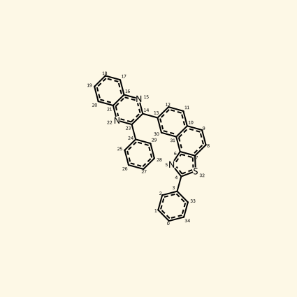 c1ccc(-c2nc3c(ccc4ccc(-c5nc6ccccc6nc5-c5ccccc5)cc43)s2)cc1